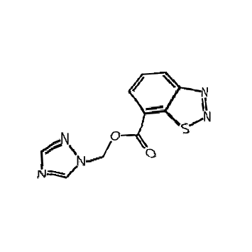 O=C(OCn1cncn1)c1cccc2nnsc12